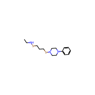 CCNSCCCSN1CCN(c2ccccc2)CC1